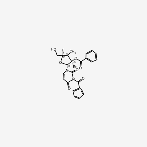 CC[C@]1(OC(=O)c2ccccc2)[C@H](n2ccc(=O)n(C(=O)c3ccccc3)c2=O)O[C@](F)(CO)[C@H]1C